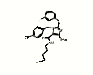 CNc1nc(Oc2cccc(O)c2)n(Cc2ccc(Cl)cc2)c1C(=O)NCCCCO